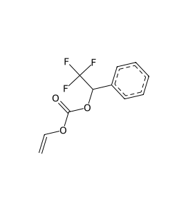 C=COC(=O)OC(c1ccccc1)C(F)(F)F